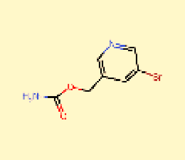 NC(=O)OCc1cncc(Br)c1